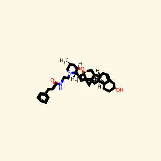 C[C@H]1C[C@H]2O[C@@]34CC[C@H]5[C@@H]6CC=C7C[C@@H](O)CC[C@]7(C)[C@H]6CC56CC63C[C@@H]4[C@@H]2N(CCNC(=O)CCc2ccccc2)C1